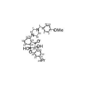 COc1ccc(CN2CCN(c3cccc4c3C(=O)C3(O)c5ccc(C(C)C)cc5OC43O)CC2)cc1